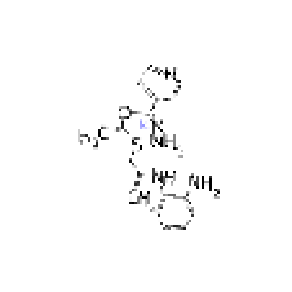 C=C(CSC(=C)O/C(=N\N)c1ccncc1)Nc1ccccc1N